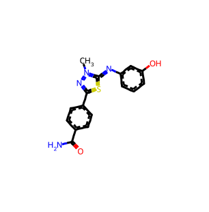 Cn1nc(-c2ccc(C(N)=O)cc2)sc1=Nc1cccc(O)c1